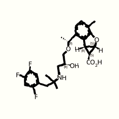 Cc1ccc([C@@H](C)OC[C@H](O)CNC(C)(C)Cc2cc(F)c(F)cc2F)c2c1O[C@@H]1[C@@H](C(=O)O)[C@H]21